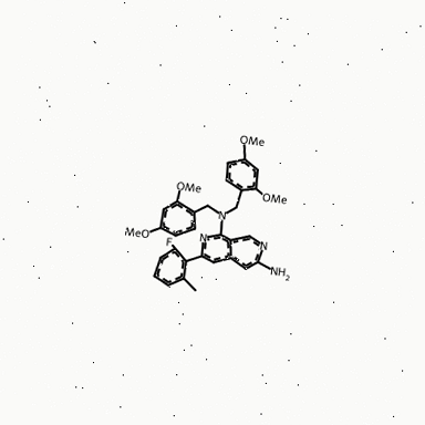 COc1ccc(CN(Cc2ccc(OC)cc2OC)c2nc(-c3c(C)cccc3F)cc3cc(N)ncc23)c(OC)c1